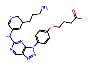 NCCCC1C=C(Nc2ncc3nnn(-c4ccc(OCCCC(=O)O)cc4)c3n2)C=NC1